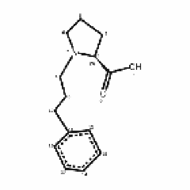 O=C(O)[C@@H]1CCCN1CCCc1ccccc1